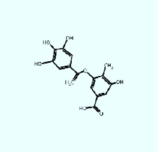 C=C(Oc1cc(C(=O)O)cc(O)c1C)c1cc(O)c(O)c(O)c1